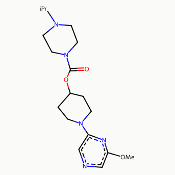 COc1cncc(N2CCC(OC(=O)N3CCN(C(C)C)CC3)CC2)n1